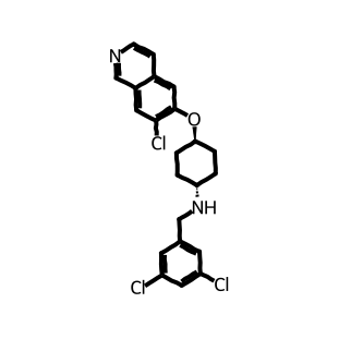 Clc1cc(Cl)cc(CN[C@H]2CC[C@H](Oc3cc4ccncc4cc3Cl)CC2)c1